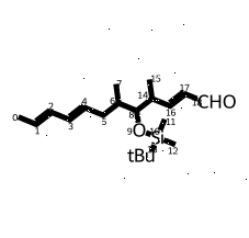 CC=CC=CCC(C)C(O[Si](C)(C)C(C)(C)C)C(C)C=CC=O